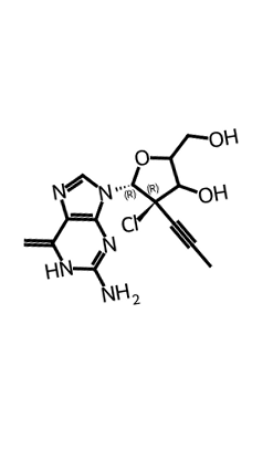 C=C1NC(N)=Nc2c1ncn2[C@@H]1OC(CO)C(O)[C@]1(Cl)C#CC